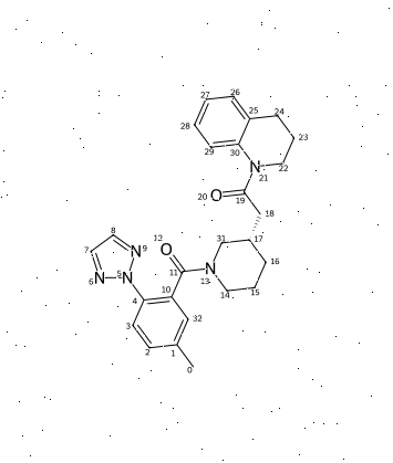 Cc1ccc(-n2nccn2)c(C(=O)N2CCC[C@@H](CC(=O)N3CCCc4ccccc43)C2)c1